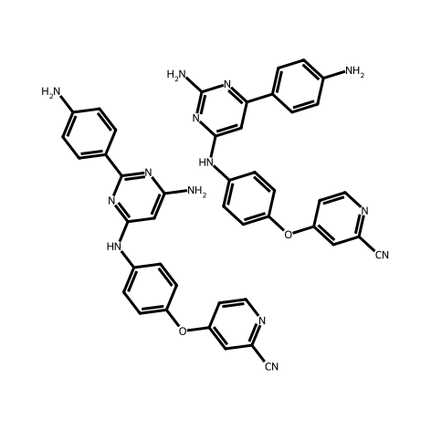 N#Cc1cc(Oc2ccc(Nc3cc(-c4ccc(N)cc4)nc(N)n3)cc2)ccn1.N#Cc1cc(Oc2ccc(Nc3cc(N)nc(-c4ccc(N)cc4)n3)cc2)ccn1